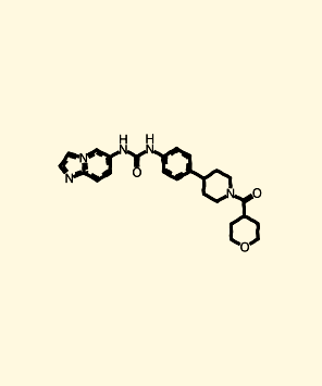 O=C(Nc1ccc(C2CCN(C(=O)C3CCOCC3)CC2)cc1)Nc1ccc2nccn2c1